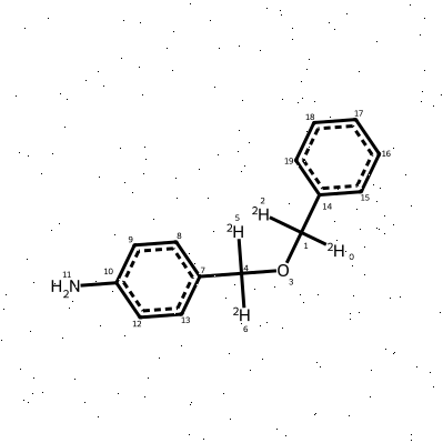 [2H]C([2H])(OC([2H])([2H])c1ccc(N)cc1)c1ccccc1